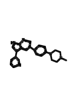 CN1CCN(c2ccc(-c3cnc4[nH]cc(-c5cccnc5)c4c3)cc2)CC1